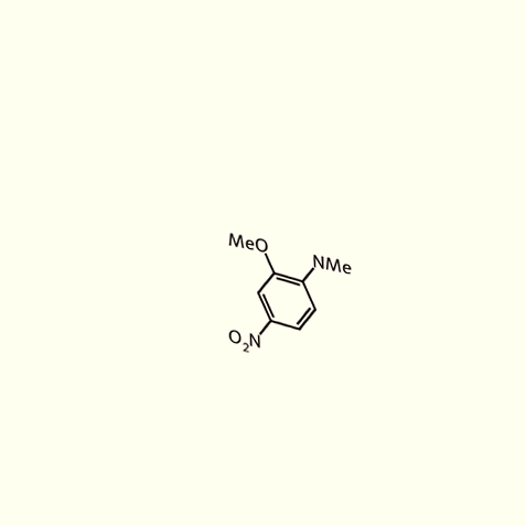 CNc1ccc([N+](=O)[O-])cc1OC